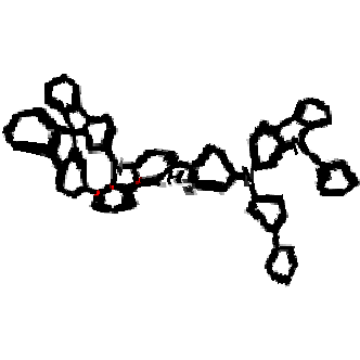 C=Cc1cccc(-c2ccc3c(c2)C2(c4ccccc4-3)c3ccccc3-c3ccc(-n4c5ccccc5c5cc(-c6ccc(N(c7ccc(-c8ccccc8)cc7)c7ccc8c9ccccc9n(-c9ccccc9)c8c7)cc6)ccc54)cc32)c1